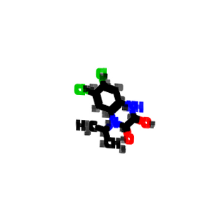 CC(C)n1c(=O)c(=O)[nH]c2cc(Cl)c(Cl)cc21